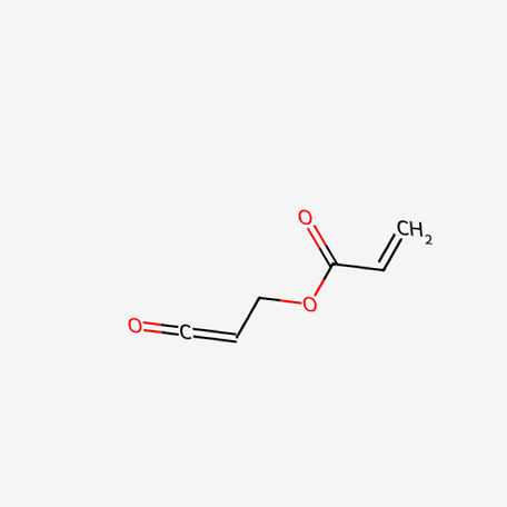 C=CC(=O)OCC=C=O